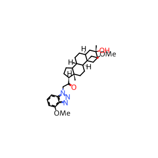 COCC[C@]12CC[C@@](C)(O)C[C@@H]1CC[C@H]1[C@@H]3CC[C@H](C(=O)Cn4nnc5c(OC)cccc54)[C@@]3(C)CC[C@@H]12